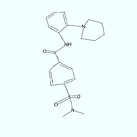 CN(C)S(=O)(=O)c1ccc(C(=O)Nc2ccccc2N2CCCCC2)cc1